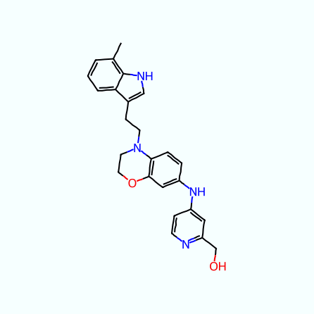 Cc1cccc2c(CCN3CCOc4cc(Nc5ccnc(CO)c5)ccc43)c[nH]c12